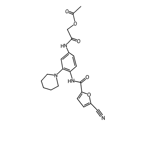 CC(=O)OCC(=O)Nc1ccc(NC(=O)c2ccc(C#N)o2)c(N2CCCCC2)c1